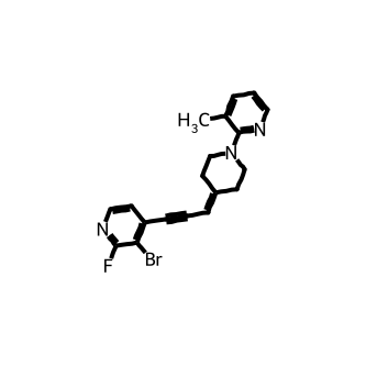 Cc1cccnc1N1CCC(=CC#Cc2ccnc(F)c2Br)CC1